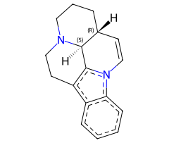 C1=Cn2c3c(c4ccccc42)CCN2CCC[C@H]1[C@@H]32